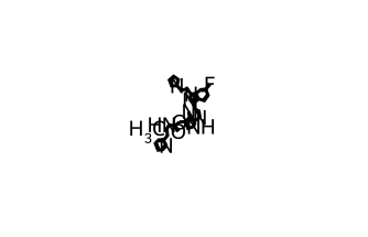 CC(Cc1ccccn1)NC(=O)Oc1c[nH]c2ncc(-c3nn(CCN4CCCC4)c4cc(F)ccc34)nc12